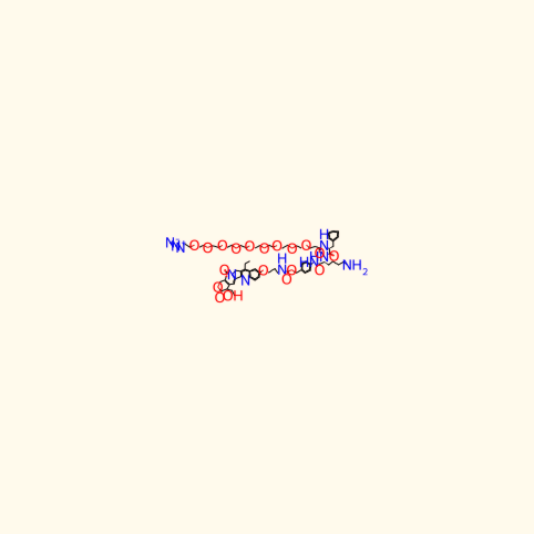 CCc1c2c(nc3ccc(OCCCNC(=O)OCc4ccc(NC(=O)[C@H](CCCCN)NC(=O)[C@H](Cc5ccccc5)NC(=O)CCOCCOCCOCCOCCOCCOCCOCCOCCOCCN=[N+]=[N-])cc4)cc13)/C(=C/C1=C(C)COC(=O)[C@]1(O)CC)N(C=O)C2